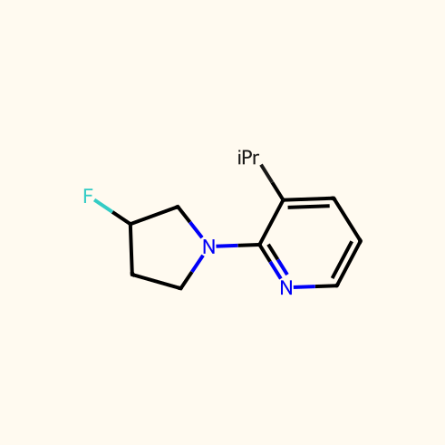 CC(C)c1cccnc1N1CCC(F)C1